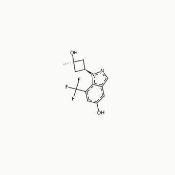 C[C@]1(O)C[C@@H](n2ncc3cc(O)cc(C(F)(F)F)c32)C1